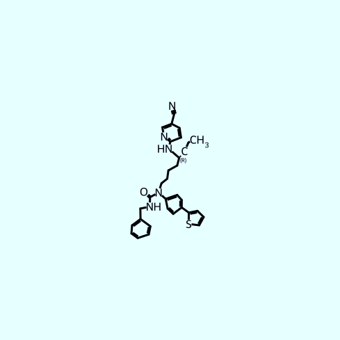 CCC[C@H](CCCCN(C(=O)NCc1ccccc1)c1ccc(-c2cccs2)cc1)Nc1ccc(C#N)cn1